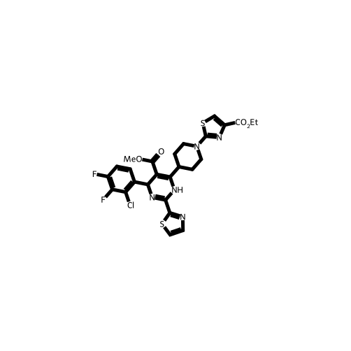 CCOC(=O)c1csc(N2CCC(C3=C(C(=O)OC)C(c4ccc(F)c(F)c4Cl)N=C(c4nccs4)N3)CC2)n1